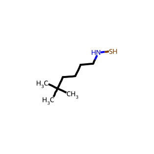 CC(C)(C)CCCCNS